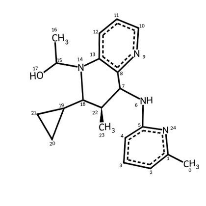 Cc1cccc(NC2c3ncccc3N(C(C)O)C(C3CC3)[C@@H]2C)n1